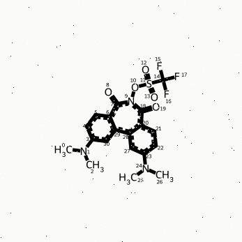 CN(C)c1ccc2c(=O)n(OS(=O)(=O)C(F)(F)F)c(=O)c3ccc(N(C)C)cc3c2c1